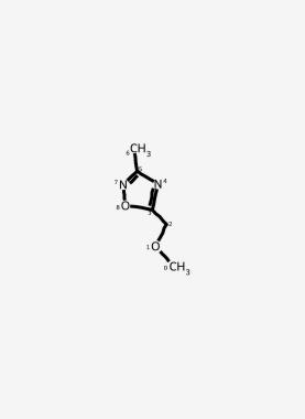 COCc1nc(C)no1